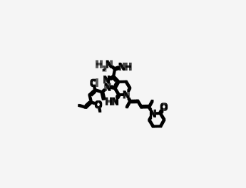 C=C(/C(Cl)=C\C(=C/C)OC)n1nc(C(=N)N)c2c1C(=N)N(/C(C)=C/C=C(\C)N1CCCCC1=O)CC2